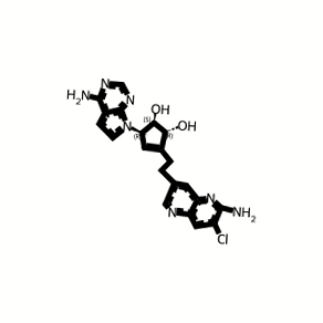 Nc1nc2cc(CCC3=C[C@@H](n4ccc5c(N)ncnc54)[C@H](O)[C@@H]3O)cnc2cc1Cl